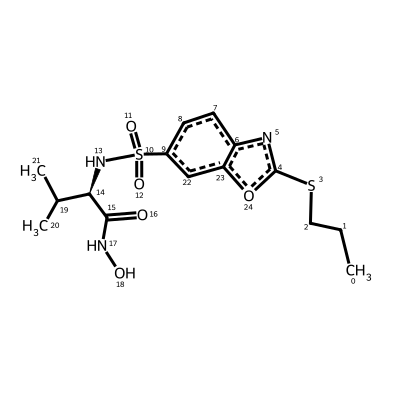 CCCSc1nc2ccc(S(=O)(=O)N[C@@H](C(=O)NO)C(C)C)cc2o1